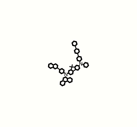 CC1(C)c2cc(N(c3ccccc3)c3ccc(-c4ccc(-c5ccccc5)cc4)cc3)ccc2-c2ccc(N(c3ccc(-c4ccc5ccccc5c4)cc3)c3cc4ccccc4c4ccccc34)cc21